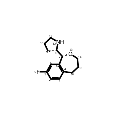 Fc1ccc2c(c1)[C@H]([C@@H]1CCCN1)OCCC2